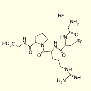 CC(C)CC(NC(=O)CN)C(=O)NC(CCCNC(=N)N)C(=O)N1CCCC1C(=O)NCC(=O)O.F